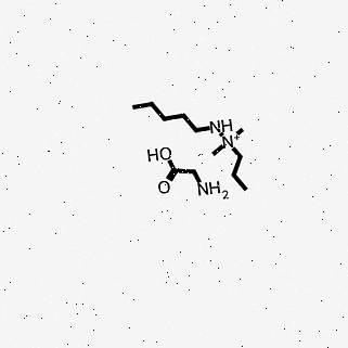 CCCCCN[N+](C)(C)CCC.NCC(=O)O